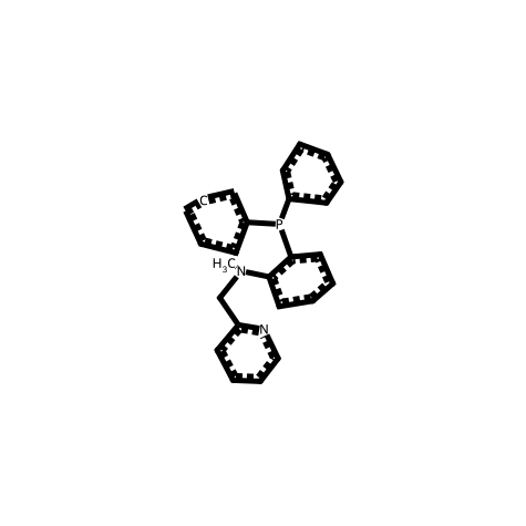 CN(Cc1ccccn1)c1ccccc1P(c1ccccc1)c1ccccc1